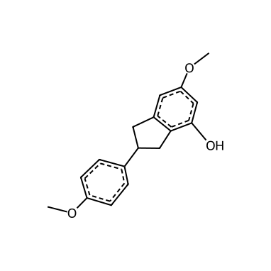 COc1ccc(C2Cc3cc(OC)cc(O)c3C2)cc1